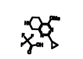 COc1nc(C2CC2)nc2c1CCNC2.O=C(O)C(F)(F)F